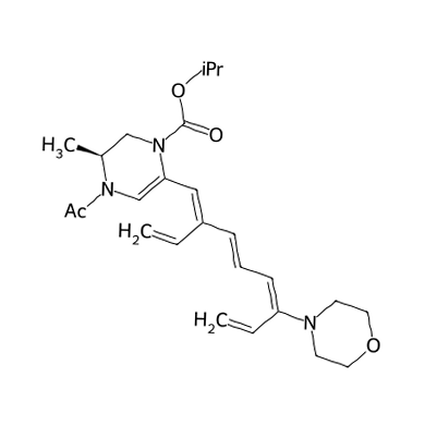 C=CC(/C=C/C=C(\C=C)N1CCOCC1)=C\C1=CN(C(C)=O)[C@@H](C)CN1C(=O)OC(C)C